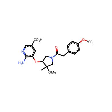 COC1(C)CN(C(=O)Cc2ccc(OC(F)(F)F)cc2)CC1Oc1cc(C(=O)O)cnc1N